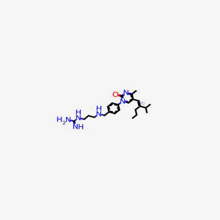 CCC/C(=C\c1cn(-c2ccc(CNCCCNC(=N)N)cc2)c(=O)nc1C)C(C)C